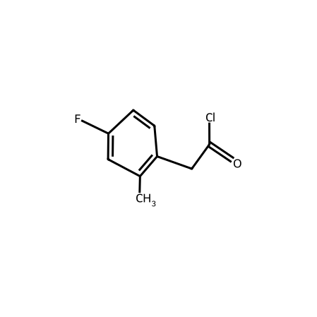 Cc1cc(F)ccc1CC(=O)Cl